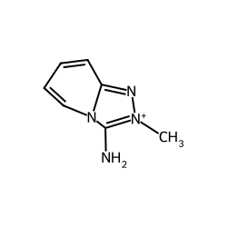 C[n+]1nc2ccccn2c1N